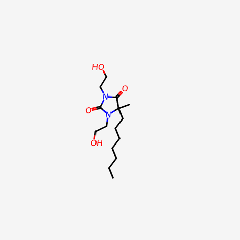 CCCCCCCC1(C)C(=O)N(CCO)C(=O)N1CCO